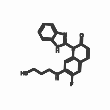 O=c1ccc2cc(F)c(NCCCO)cc2n1-c1nc2ccccc2[nH]1